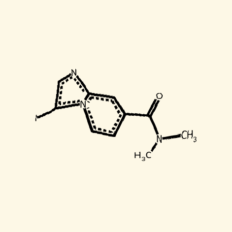 CN(C)C(=O)c1ccn2c(I)cnc2c1